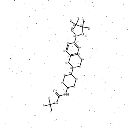 CC(C)(C)OC(=O)NC1CCC(N2CCc3cc(B4OC(C)(C)C(C)(C)O4)ccc3C2)CC1